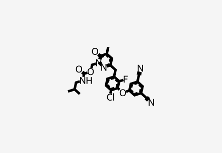 Cc1cc(Cc2ccc(Cl)c(Oc3cc(C#N)cc(C#N)c3)c2F)nn(COC(=O)NCC(C)C)c1=O